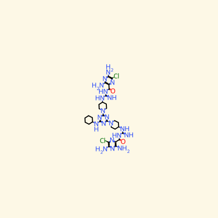 N=C(NC(=O)c1nc(Cl)c(N)nc1N)NC1CCN(c2nc(NC3CCCCC3)nc(N3CCC(NC(=N)NC(=O)c4nc(Cl)c(N)nc4N)CC3)n2)CC1